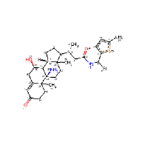 CCC(NC(=O)C[C@@H](C)C1CC[C@H]2C3[C@H](O)CC4=CC(=O)CCC4(C)[C@@]3(N)CCC12C)c1ccc(C)s1